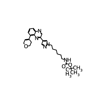 CC(C)(C)OC(=O)NCCCCCCn1cc(-c2cnc3cccc(C4=CCOCC4)c3n2)cn1